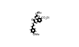 CCOC(=O)c1ccc2c(c1)N(CC(=O)OC(C)(C)C)C(=O)[C@@H](CCCc1ccc(OC)cc1)S2